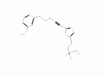 COc1cccc(CCCC#Cc2ccc(CCC(C)(N)CO)s2)c1